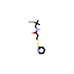 CNC(C)(C)CNC(=O)CCSSc1ccccn1